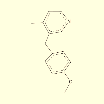 COc1ccc(Cc2cnccc2C)cc1